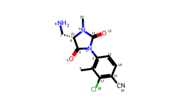 Cc1c(N2C(=O)[C@H](CN)N(C)C2=O)ccc(C#N)c1Cl